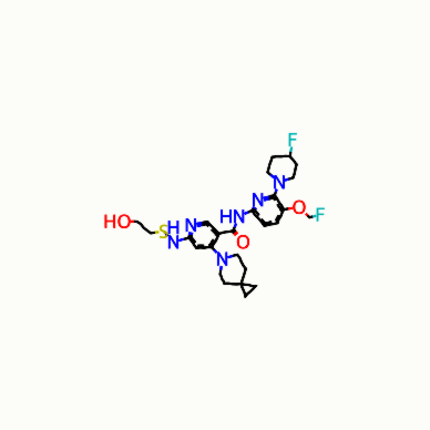 O=C(Nc1ccc(OCF)c(N2CCC(F)CC2)n1)c1cnc(NSCCO)cc1N1CCC2(CC1)CC2